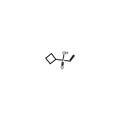 C=CP(=O)(O)C1CCC1